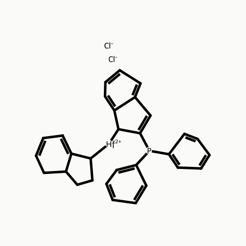 C1=CCC2CC[CH]([Hf+2][CH]3C(P(c4ccccc4)c4ccccc4)=Cc4ccccc43)C2=C1.[Cl-].[Cl-]